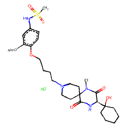 CCN1C(=O)[C@@H](C2(O)CCCCC2)NC(=O)C12CCN(CCCCOc1ccc(NS(C)(=O)=O)cc1OC)CC2.Cl